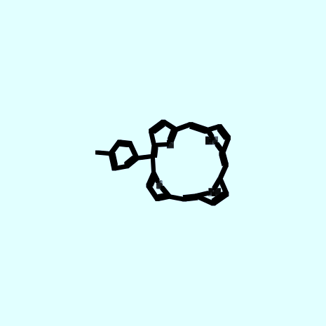 Cc1ccc(/C2=C3\C=CC(=N3)/C=c3/cc/c([nH]3)=C/C3C=C/C(=C/c4ccc2s4)N3)cc1